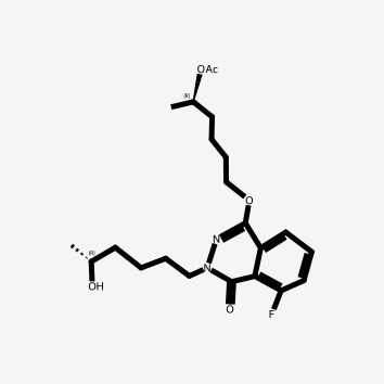 CC(=O)O[C@H](C)CCCCOc1nn(CCCC[C@@H](C)O)c(=O)c2c(F)cccc12